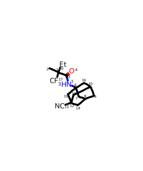 CCC(C)(C(=O)NC12CC3CC(CC(C#N)(C3)C1)C2)C(F)(F)F